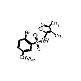 COc1ccc(Br)c(S(=O)(=O)Nc2onc(C)c2C)c1